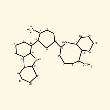 CC1CCCC(C2CCC(N)C(C3CCCC4C5CCCCC5SC34)C2)SC2CCCCC12